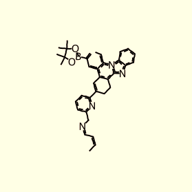 C=C(/C=c1/c2c(c3nc4ccccc4n3/c1=C/C)CCC(c1cccc(C/N=C\C=C/C)n1)=C2)B1OC(C)(C)C(C)(C)O1